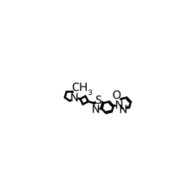 C[C@@H]1CCCN1C1CC(c2nc3ccc(-n4ncccc4=O)cc3s2)C1